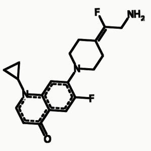 NCC(F)=C1CCN(c2cc3c(cc2F)c(=O)ccn3C2CC2)CC1